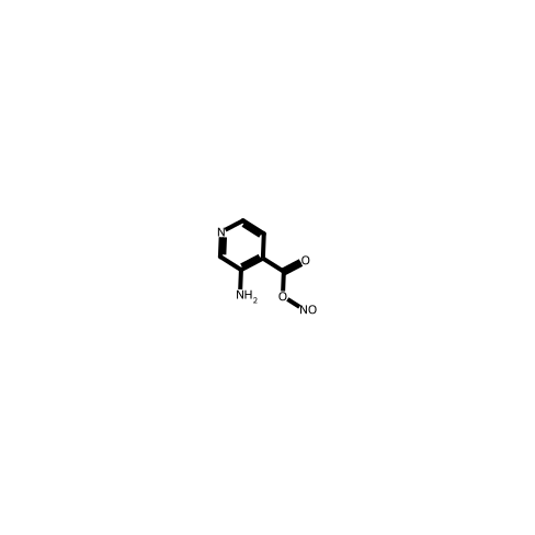 Nc1cnccc1C(=O)ON=O